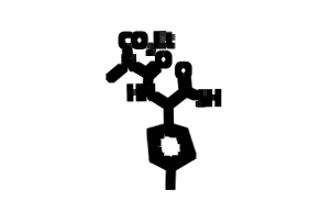 CCOC(=O)N(C)C(=O)NC(C(=O)S)c1ccc(C)cc1